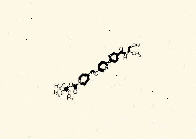 C[C@@H](CO)NC(=O)C1CC=C(c2ccc(OCC3CCN(C(=O)OC(C)(C)C)CC3)cn2)CC1